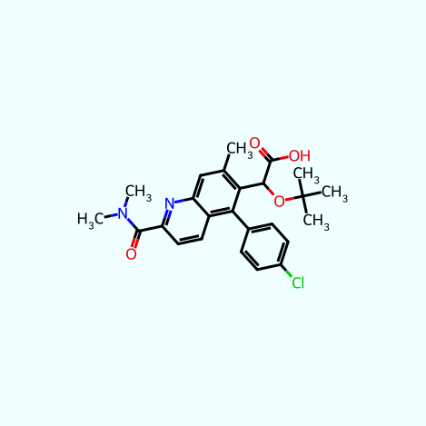 Cc1cc2nc(C(=O)N(C)C)ccc2c(-c2ccc(Cl)cc2)c1C(OC(C)(C)C)C(=O)O